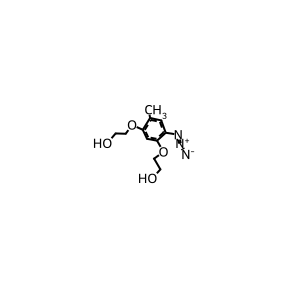 Cc1cc(N=[N+]=[N-])c(OCCO)cc1OCCO